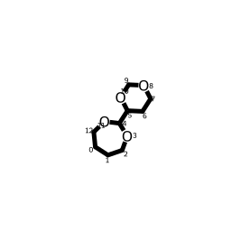 C1CCOC(C2CCOCO2)OC1